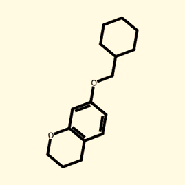 c1cc2c(cc1OCC1CCCCC1)OCCC2